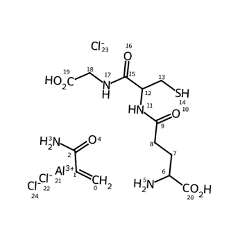 C=CC(N)=O.NC(CCC(=O)NC(CS)C(=O)NCC(=O)O)C(=O)O.[Al+3].[Cl-].[Cl-].[Cl-]